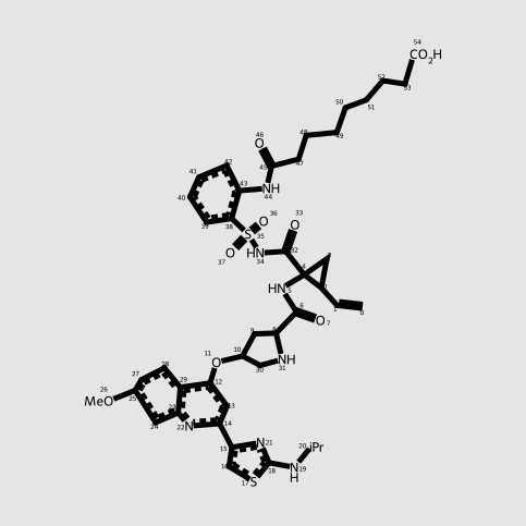 C=CC1CC1(NC(=O)C1CC(Oc2cc(-c3csc(NC(C)C)n3)nc3cc(OC)ccc23)CN1)C(=O)NS(=O)(=O)c1ccccc1NC(=O)CCCCCCCC(=O)O